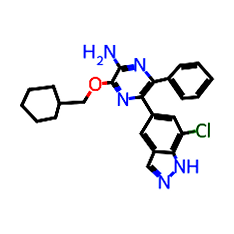 Nc1nc(-c2ccccc2)c(-c2cc(Cl)c3[nH]ncc3c2)nc1OCC1CCCCC1